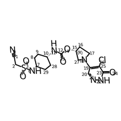 N#CCS(=O)(=O)N[C@H]1CC[C@H](NC(=O)O[C@@H]2CCN(c3cn[nH]c(=O)c3Cl)C2)CC1